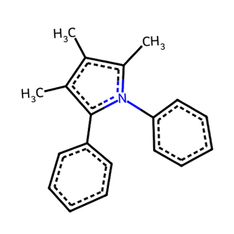 Cc1c(C)c(-c2ccccc2)n(-c2ccccc2)c1C